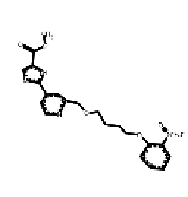 COC(=O)c1coc(-c2ccnc(COCCCCOc3ccccc3[N+](=O)[O-])c2)n1